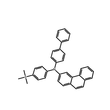 CS(C)(C)c1ccc(N(c2ccc(-c3ccccc3)cc2)c2ccc3ccc4ccccc4c3c2)cc1